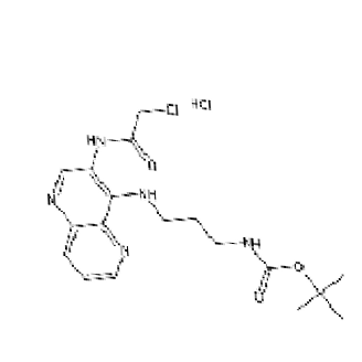 CC(C)(C)OC(=O)NCCCNc1c(NC(=O)CCl)cnc2cccnc12.Cl